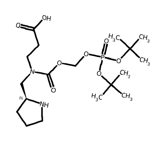 CC(C)(C)OP(=O)(OCOC(=O)N(CCC(=O)O)C[C@@H]1CCCN1)OC(C)(C)C